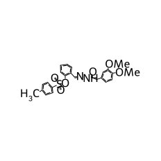 COc1ccc(CC(=O)N/N=C/c2ccccc2OS(=O)(=O)c2ccc(C)cc2)cc1OC